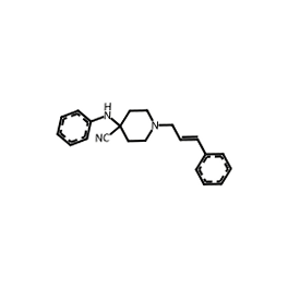 N#CC1(Nc2ccccc2)CCN(CC=Cc2ccccc2)CC1